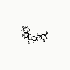 Cc1cc(C[C@@H]2CCN([C@@H](C)c3cnc4c(c3)OCCO4)C2)cc(C)n1